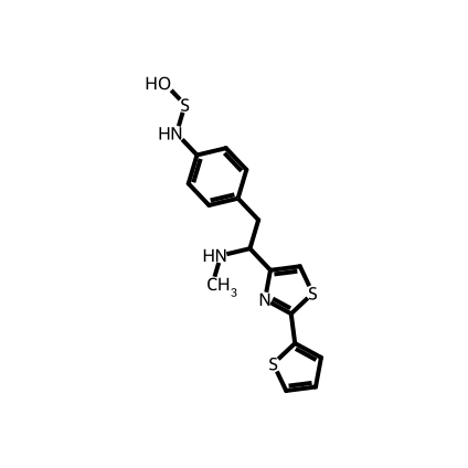 CNC(Cc1ccc(NSO)cc1)c1csc(-c2cccs2)n1